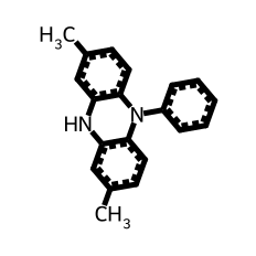 Cc1ccc2c(c1)Nc1cc(C)ccc1N2c1ccccc1